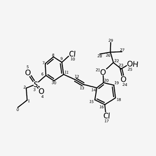 CCCS(=O)(=O)c1ccc(Cl)c(C#Cc2cc(Cl)ccc2OC(C(=O)O)C(C)(C)C)c1